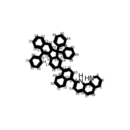 C1=CC2=C(NC1)C1NC(c3ccc(C4=CC5C(C=C4)c4c(cc6ccccc6c4-c4ccccc4)C5(c4ccccc4)c4ccccc4)c4ccccc34)=CC=C1C=C2